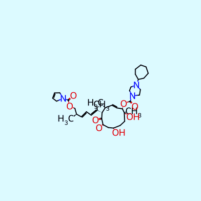 C/C(=C\C=C\[C@@H](C)COC(=O)N1CC=CC1)[C@H]1C(=O)C(=O)C[C@@H](O)CC[C@](C)(O)[C@@H](OC(=O)N2CCN(C3CCCCCC3)CC2)/C=C/[C@@H]1C